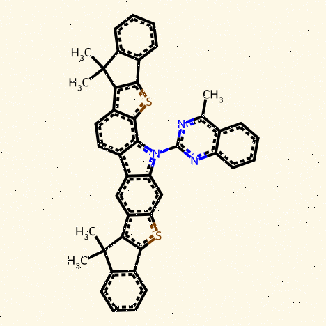 Cc1nc(-n2c3cc4sc5c(c4cc3c3ccc4c6c(sc4c32)-c2ccccc2C6(C)C)C(C)(C)c2ccccc2-5)nc2ccccc12